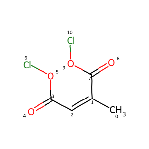 C/C(=C/C(=O)OCl)C(=O)OCl